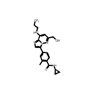 Cc1cc(-c2cnc3c(NCCC(F)(F)F)cc(CO)nn23)ccc1C(=O)NC1CC1